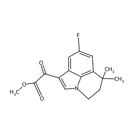 COC(=O)C(=O)c1cn2c3c(cc(F)cc13)C(C)(C)CC2